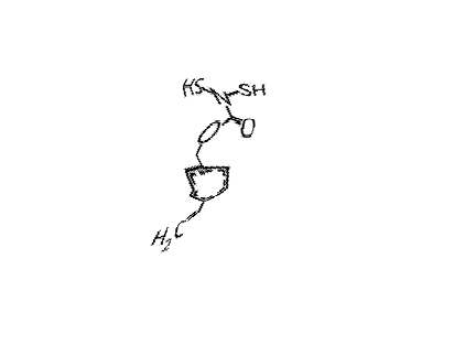 C=Cc1ccc(OC(=O)N(S)S)cc1